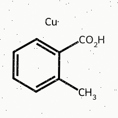 Cc1ccccc1C(=O)O.[Cu]